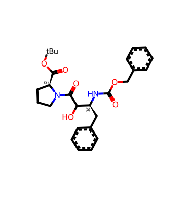 CC(C)(C)OC(=O)[C@@H]1CCCN1C(=O)C(O)[C@H](Cc1ccccc1)NC(=O)OCc1ccccc1